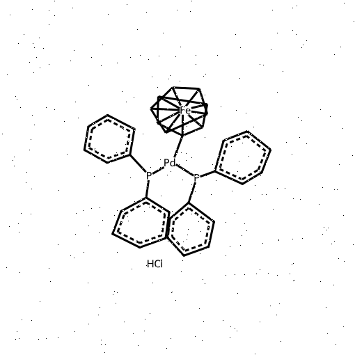 Cl.c1ccc([P](c2ccccc2)[Pd]([P](c2ccccc2)c2ccccc2)[C]23[CH]4[CH]5[CH]6[CH]2[Fe]56432789[CH]3[CH]2[CH]7[CH]8[CH]39)cc1